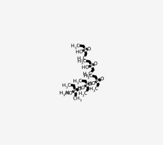 CCP(=O)(O)CC.CCP(=O)(O)CC.CCP(=O)(O)CC.CCP(=O)(O)CC.CCP(=O)(O)CC.[AlH3]